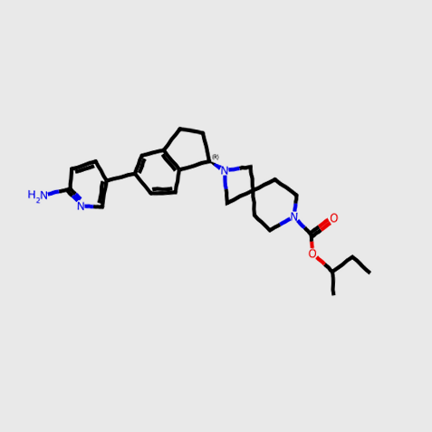 CCC(C)OC(=O)N1CCC2(CC1)CN([C@@H]1CCc3cc(-c4ccc(N)nc4)ccc31)C2